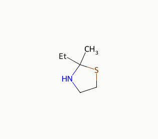 CCC1(C)NCCS1